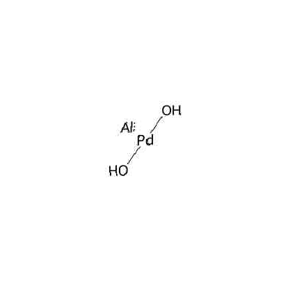 [Al].[OH][Pd][OH]